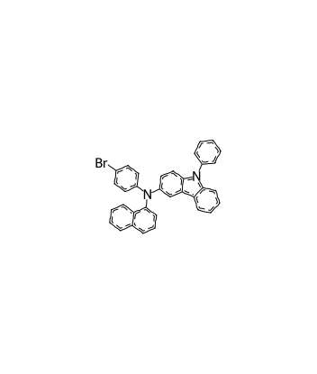 Brc1ccc(N(c2ccc3c(c2)c2ccccc2n3-c2ccccc2)c2cccc3ccccc23)cc1